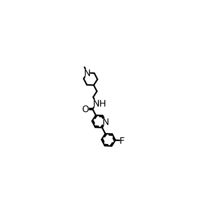 CN1CCC(CCNC(=O)c2ccc(-c3cccc(F)c3)nc2)CC1